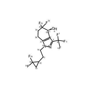 O[C@H]1c2c(C(F)(F)F)nn(CCC3CC3(F)F)c2CCC1(F)F